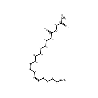 CCCCC/C=C\C/C=C\CCCCCCCC(=O)OCC(C)=O